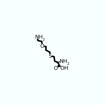 NCCOCCCSCC[C@H](N)C(=O)O